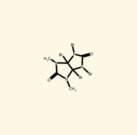 CN1C(=O)N(C)C2(Br)N(Br)C(=O)N(Br)C12Br